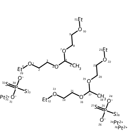 CCOCCOC(C)OCCOCC.CCOCCOC(C)OCCOCC.[O-]P([O-])(=S)[S-].[O-]P([O-])(=S)[S-].[Pt+2].[Pt+2].[Pt+2]